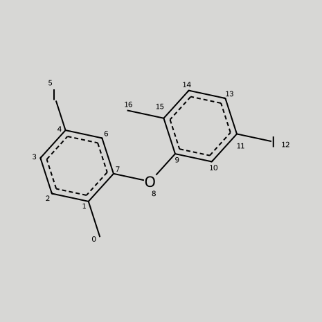 Cc1ccc(I)cc1Oc1cc(I)ccc1C